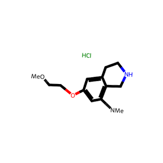 CNc1cc(OCCOC)cc2c1CNCC2.Cl